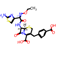 CCO/N=C(\C(=O)N[C@@H]1C(=O)N2C(C(=O)O)=C(Cc3ccc(C(=O)O)cc3)CS[C@H]12)c1csc(N)n1